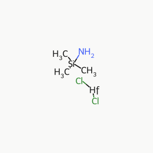 C[Si](C)(C)N.[Cl][Hf][Cl]